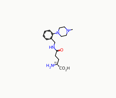 CN1CCN(c2ccccc2CNC(=O)CC[C@H](N)C(=O)O)CC1